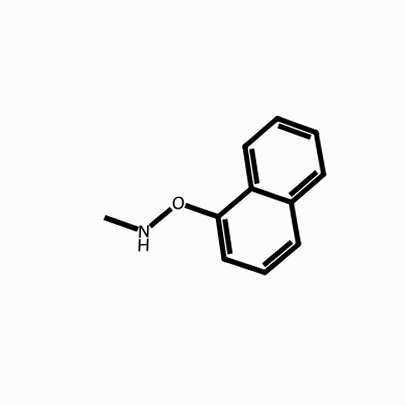 CNOc1cccc2ccccc12